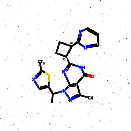 CC(c1cnc(C(F)(F)F)s1)n1nc(C#N)c2c(=O)[nH]c([C@@H]3CC[C@H]3c3ncccn3)nc21